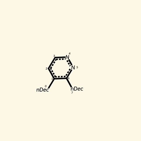 CCCCCCCCCCc1ccnnc1CCCCCCCCCC